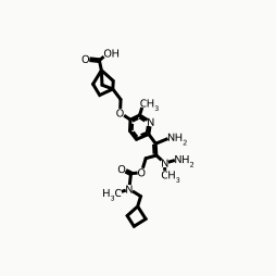 Cc1nc(/C(N)=C(\COC(=O)N(C)CC2CCC2)N(C)N)ccc1OCC12CCC(C(=O)O)(C1)C2